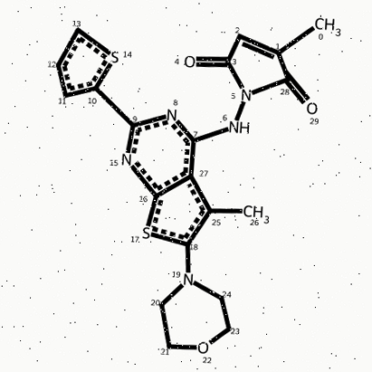 CC1=CC(=O)N(Nc2nc(-c3cccs3)nc3sc(N4CCOCC4)c(C)c23)C1=O